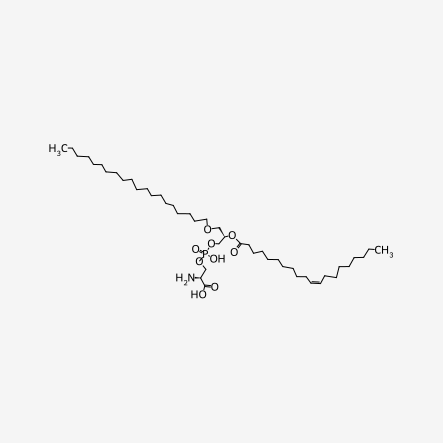 CCCCCCCC/C=C\CCCCCCCCCC(=O)O[C@H](COCCCCCCCCCCCCCCCCCCCC)COP(=O)(O)OC[C@H](N)C(=O)O